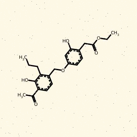 CCCc1c(COc2ccc(CC(=O)OCC)c(O)c2)ccc(C(C)=O)c1O